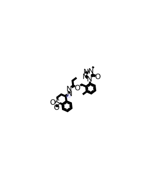 CCC(=N/N=C1\CCS(=O)(=O)c2ccccc21)OCc1c(C)cccc1-n1nnn(C)c1=O